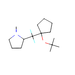 CN1CCCC1C(F)(F)C1(OC(C)(C)C)CCCC1